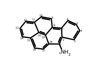 Nc1c2ccccc2c2ccc3cccc4ccc1c2c43